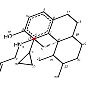 C=CCNCC[C@]12c3c(ccc(O)c3C3CC3)CCC1CCC(C)C2C